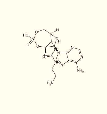 NCCNC(=O)O[C@H]1[C@H]2OP(=O)(O)OC[C@H]1O[C@H]2n1cnc2c(N)ncnc21